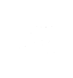 C=C1C(c2ccccc2)=CC(O)=C(c2ccccc2)C1c1ccccc1